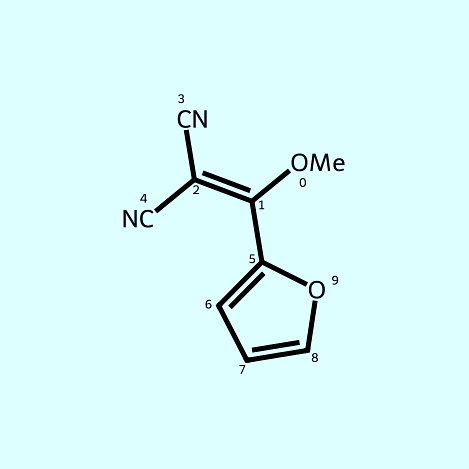 COC(=C(C#N)C#N)c1ccco1